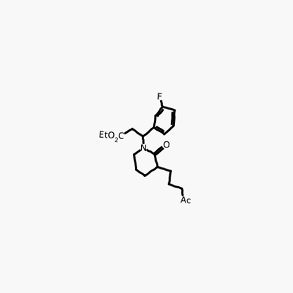 CCOC(=O)CC(c1cccc(F)c1)N1CCCC(CCCC(C)=O)C1=O